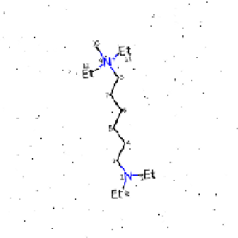 CCN(CC)CCCCCC[N+](C)(CC)CC